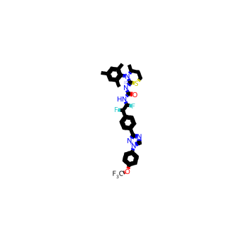 Cc1cc(C)c(N2/C(=N/C(=O)NC(F)C(F)c3ccc(-c4ncn(-c5ccc(OC(F)(F)F)cc5)n4)cc3)SCCC2C)c(C)c1